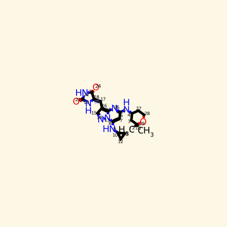 CC1(C)CC(Nc2cc(NC3CC3)n3ncc(/C=C4\NC(=O)NC4=O)c3n2)CCO1